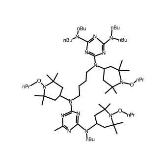 CCCCN(CCCC)c1nc(N(CCCC)CCCC)nc(N(CCCCN(c2nc(C)nc(N(CCCC)C3CC(C)(C)N(OCCC)C(C)(C)C3)n2)C2CC(C)(C)N(OCCC)C(C)(C)C2)C2CC(C)(C)N(OCCC)C(C)(C)C2)n1